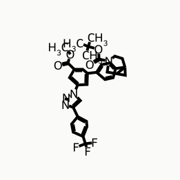 COC(=O)c1cc(-c2ccc(C34CCN(C(=O)OC(C)(C)C)CC3C4)cc2)cc(-n2cc(-c3ccc(C(F)(F)F)cc3)nn2)c1